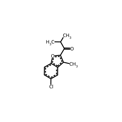 Cc1c(C(=O)C(C)C)oc2ccc(Cl)cc12